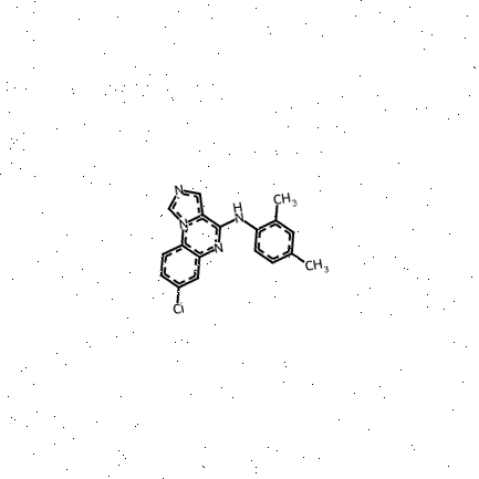 Cc1ccc(Nc2nc3cc(Cl)ccc3n3cncc23)c(C)c1